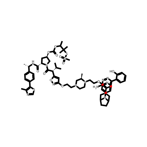 Cc1ncsc1-c1ccc([C@H](C)NC(=O)[C@@H]2C[C@@H](OC(=O)OC(C)C(C)(C)SS(C)(=O)=O)CN2C(=O)[C@@H](c2cc(OCCN3CCN(CCOc4cc(N5C6CCC5CN(c5cc(-c7ccccc7O)nnc5N)C6)ccn4)[C@H](C)C3)no2)C(C)C)cc1